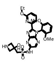 CCOc1cccc(-c2nc3nc(NS(=O)(=O)CC4(O)CNC4)cnc3n2-c2c(OC)cccc2OC)n1